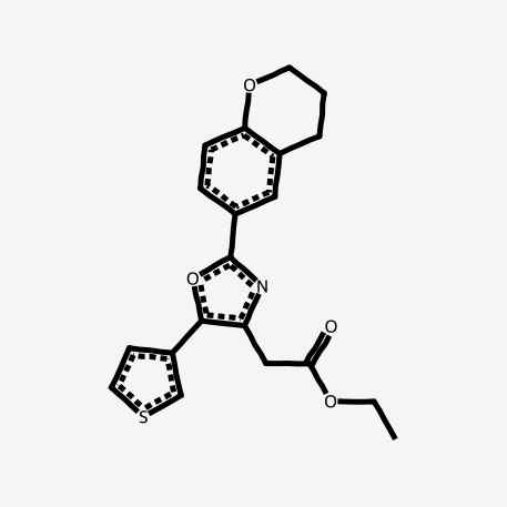 CCOC(=O)Cc1nc(-c2ccc3c(c2)CCCO3)oc1-c1ccsc1